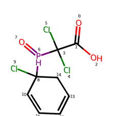 O=C(O)C(Cl)(Cl)[PH](=O)C1(Cl)C=CC=CC1